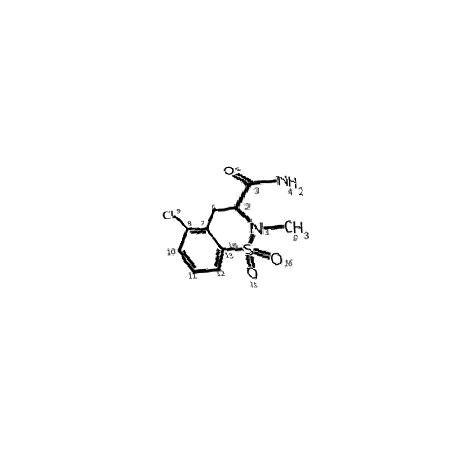 CN1C(C(N)=O)Cc2c(Cl)cccc2S1(=O)=O